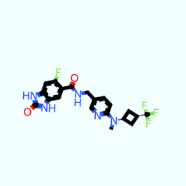 CN(c1ccc(CNC(=O)c2cc3[nH]c(=O)[nH]c3cc2F)cn1)[C@H]1C[C@@H](C(F)(F)F)C1